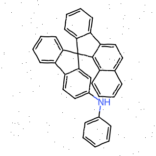 c1ccc(Nc2ccc3c(c2)C2(c4ccccc4-3)c3ccccc3-c3ccc4ccccc4c32)cc1